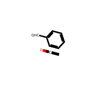 C=C=O.O=Cc1ccccc1